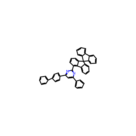 c1ccc(-c2ccc(-c3cc(-c4ccccc4)nc(-c4cccc5c4-c4ccccc4C54c5ccccc5-c5ccccc54)n3)cc2)cc1